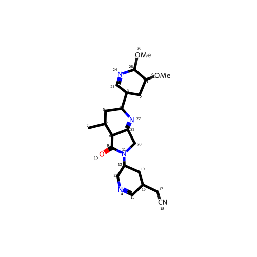 COC1CC(C2CC(C)C3C(=O)N(C4CN=CC(CC#N)C4)CC3=N2)C=NC1OC